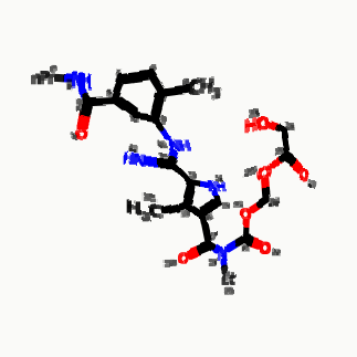 CCCNC(=O)c1ccc(C)c(NC(=N)c2[nH]cc(C(=O)N(CC)C(=O)OCOC(=O)CO)c2C)c1